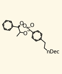 CCCCCCCCCCCCc1ccc(S(=O)(=O)OC(C)C(=O)c2ccccc2)cc1